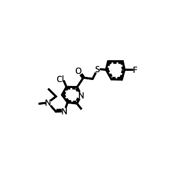 CCN(C)/C=N\c1cc(Cl)c(C(=O)CSc2ccc(F)cc2)nc1C